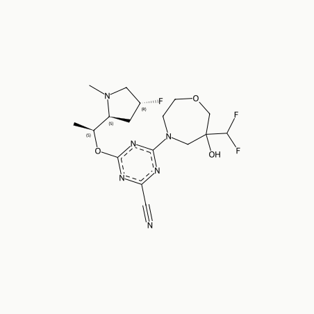 C[C@H](Oc1nc(C#N)nc(N2CCOCC(O)(C(F)F)C2)n1)[C@@H]1C[C@@H](F)CN1C